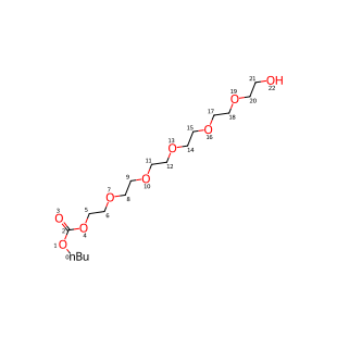 CCCCOC(=O)OCCOCCOCCOCCOCCOCCO